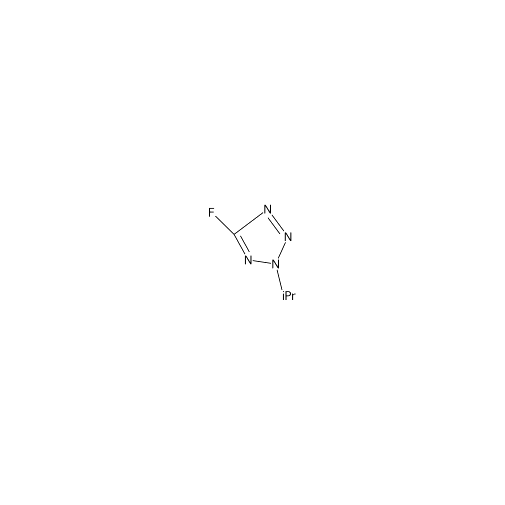 CC(C)n1nnc(F)n1